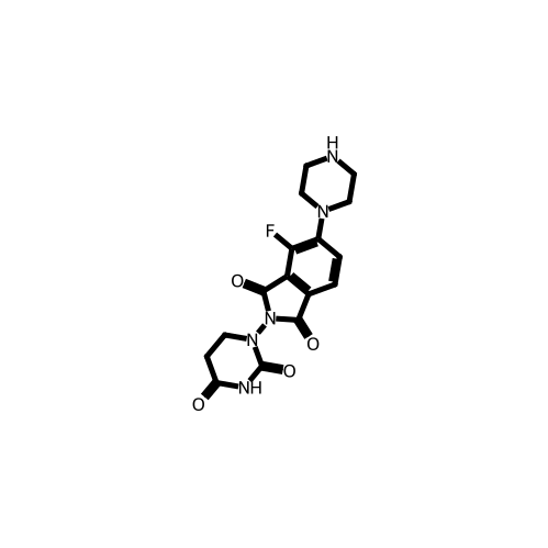 O=C1CCN(N2C(=O)c3ccc(N4CCNCC4)c(F)c3C2=O)C(=O)N1